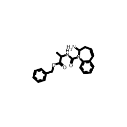 CC(NC(=O)N1c2ccccc2C=CCC1N)C(=O)OCc1ccccc1